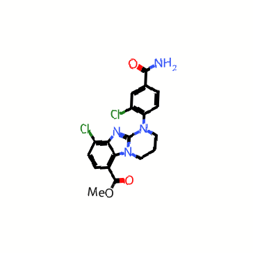 COC(=O)c1ccc(Cl)c2nc3n(c12)CCCN3c1ccc(C(N)=O)cc1Cl